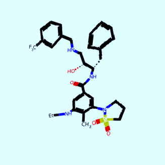 CCNc1cc(C(=O)N[C@@H](Cc2ccccc2)[C@H](O)CNCc2cccc(C(F)(F)F)c2)cc(N2CCCS2(=O)=O)c1C